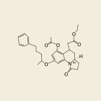 CCOC(=O)CC1C[C@H]2CCC(=O)N2c2cc(OC(C)CCCc3ccccc3)cc(OC(C)=O)c21